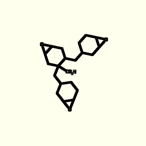 O=C(O)C1(CC2CCC3OC3C2)CC2OC2CC1CC1CCC2OC2C1